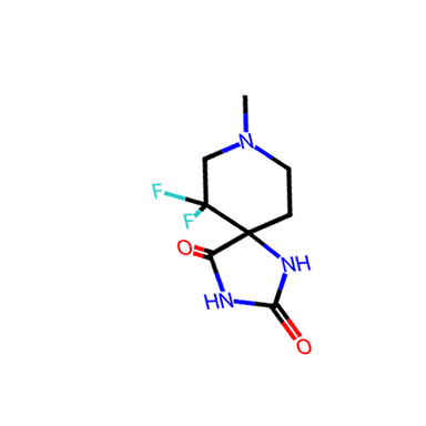 CN1CCC2(NC(=O)NC2=O)C(F)(F)C1